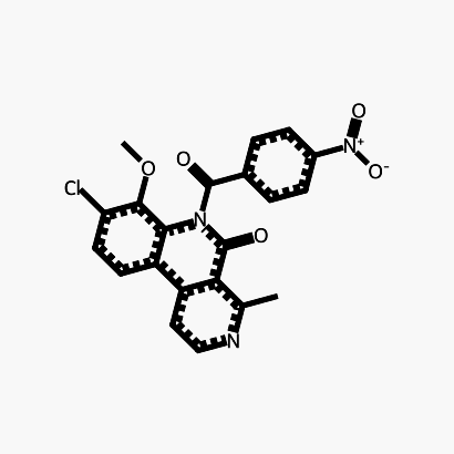 COc1c(Cl)ccc2c3ccnc(C)c3c(=O)n(C(=O)c3ccc([N+](=O)[O-])cc3)c12